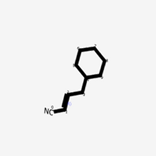 N#C/C=C/CC1CCCCC1